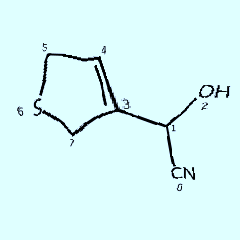 N#CC(O)C1=CCSC1